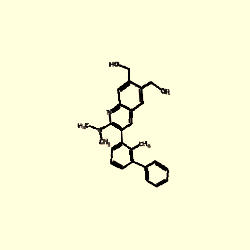 Cc1c(-c2ccccc2)cccc1-c1cc2cc(CO)c(CO)cc2nc1N(C)C